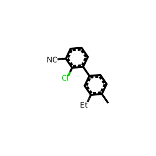 CCc1cc(-c2cccc(C#N)c2Cl)ccc1C